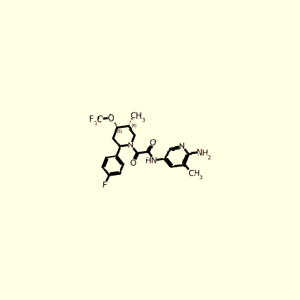 Cc1cc(NC(=O)C(=O)N2C[C@@H](C)[C@@H](OC(F)(F)F)CC2c2ccc(F)cc2)cnc1N